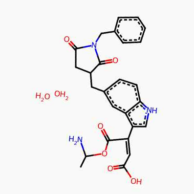 CC(N)OC(=O)/C(=C\C(=O)O)c1c[nH]c2ccc(CC3CC(=O)N(Cc4ccccc4)C3=O)cc12.O.O